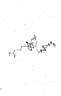 CO/N=C\C1=CN=C[SH]1OCCC=C(F)F